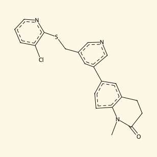 CN1C(=O)CCc2cc(-c3cncc(CSc4ncccc4Cl)c3)ccc21